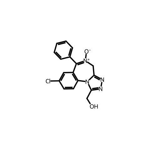 [O-][N+]1=C(c2ccccc2)c2cc(Cl)ccc2-n2c(CO)nnc2C1